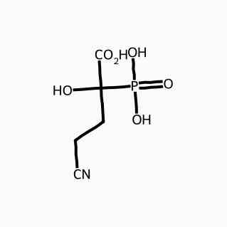 N#CCCC(O)(C(=O)O)P(=O)(O)O